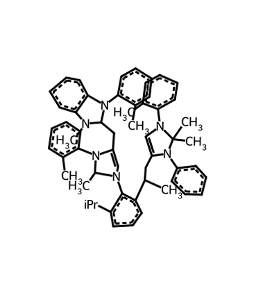 Cc1ccccc1N1C(CC2N(C)c3ccccc3N2c2ccccc2C)=CN(c2c(C(C)C)cccc2C(C)CC2=CN(c3ccccc3C)C(C)(C)N2c2ccccc2)C1C